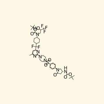 Cc1cc(C(F)(F)C2CCC(N(C[C@@H](O)C(F)(F)F)C(=O)OC(C)(C)C)CC2)nc(N2CCN(S(=O)(=O)c3ccc(N4C[C@H](NC(=O)OC(C)(C)C)CC4=O)cc3)CC2)n1